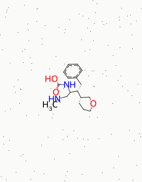 CNCC(NC(=O)O)[C@H](Cc1ccccc1)[C@H]1CCCOC1